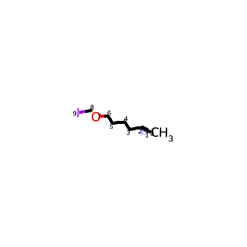 C/C=C/CCCCOCI